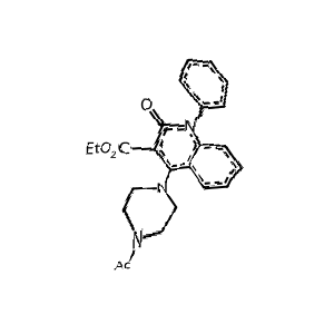 CCOC(=O)c1c(N2CCN(C(C)=O)CC2)c2ccccc2n(-c2ccccc2)c1=O